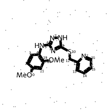 COc1ccc(Nc2n[nH]c(SCc3ccccn3)n2)c(OC)c1